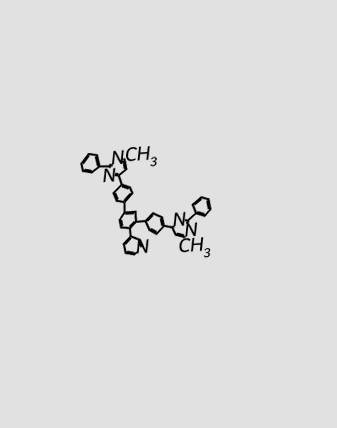 Cc1cc(-c2ccc(-c3ccc(-c4cccnc4)c(-c4ccc(-c5cc(C)nc(-c6ccccc6)n5)cc4)c3)cc2)nc(-c2ccccc2)n1